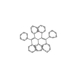 c1ccc(C(=C(c2ccccc2)C(C(=C(c2ccccc2)c2ccccc2)c2ccccc2)c2cccs2)c2ccccc2)cc1